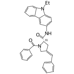 CCn1c2ccccc2c2cc(NC(=O)[C@@H]3CC(=Cc4ccccc4)CN3C(=O)c3ccccc3)ccc21